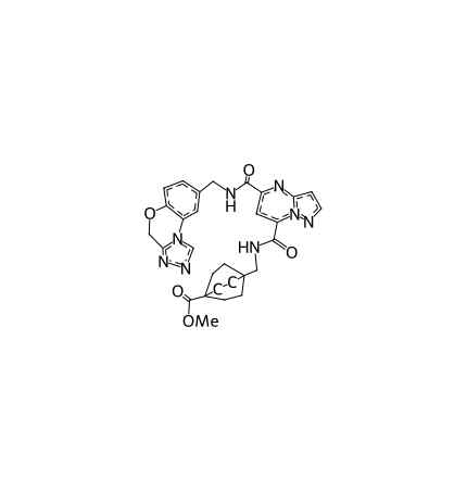 COC(=O)C12CCC(CNC(=O)c3cc(C(=O)NCc4ccc5c(c4)-n4cnnc4CO5)nc4ccnn34)(CC1)CC2